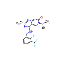 C=C(CC)n1cc2c(NCc3cccc(C(F)F)c3F)nc(C)nc2cc1=O